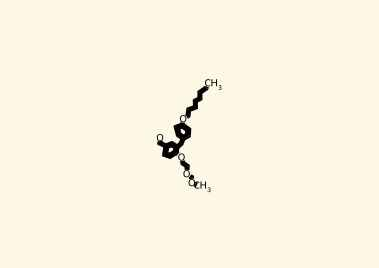 CCCCCCCCOc1ccc(Cc2cc(C=O)ccc2OCCOCOC)cc1